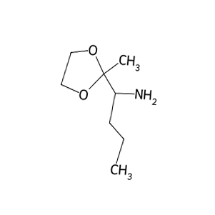 CCCC(N)C1(C)OCCO1